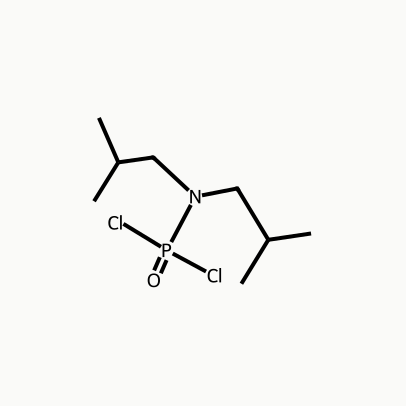 CC(C)CN(CC(C)C)P(=O)(Cl)Cl